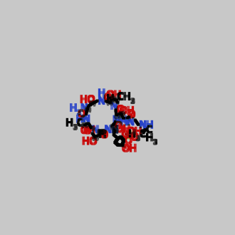 CC(C)NCCNC(=O)C[C@@H](O)[C@@H]1NC(=O)[C@H]([C@H](O)Cc2ccc(O)c(OS(=O)(=O)O)c2)NC(=O)[C@@H]2C[C@@H](O)CN2C(=O)C([C@@H](C)O)NC(=O)[C@@H](N)C[C@@H](O)CNC(=O)[C@@H]2[C@@H](O)[C@@H](C)CN2C1=O